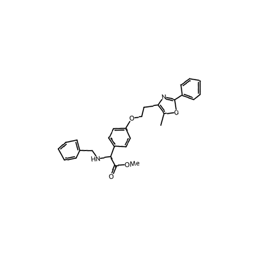 COC(=O)C(NCc1ccccc1)c1ccc(OCCc2nc(-c3ccccc3)oc2C)cc1